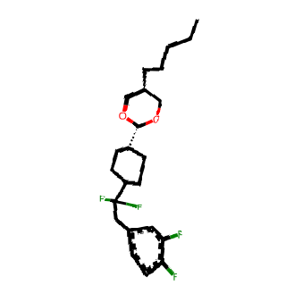 CCCCC[C@H]1CO[C@H](C2CCC(C(F)(F)Cc3ccc(F)c(F)c3)CC2)OC1